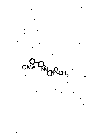 C=CC(=O)N1CCCC(n2cc3ccc(-c4ccccc4OC)cc3n2)C1